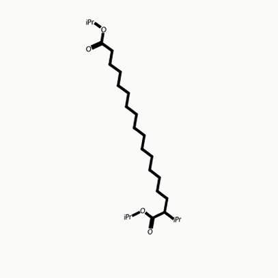 CC(C)OC(=O)CCCCCCCCCCCCCCCC(C(=O)OC(C)C)C(C)C